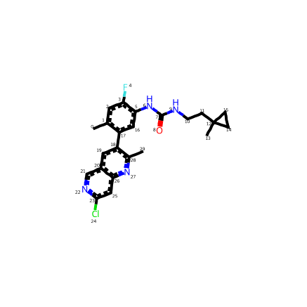 Cc1cc(F)c(NC(=O)NCCC2(C)CC2)cc1-c1cc2cnc(Cl)cc2nc1C